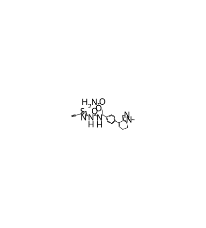 C#Cc1nc(NC(=O)NC(COC(N)=O)c2ccc(C3=CCCc4c3cnn4C)cc2)cs1